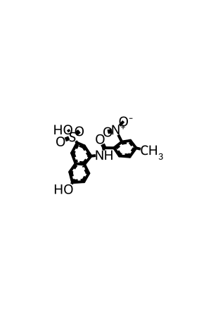 Cc1ccc(C(=O)Nc2cc(S(=O)(=O)O)cc3cc(O)ccc23)c([N+](=O)[O-])c1